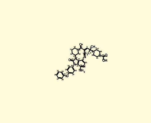 CC(C)(C=C(C#N)C(=O)N1CCCC(n2c(=O)n(-c3ccc(Oc4ccccc4)cc3)c3c(N)nccc32)C1)N1CCN(C(=O)O)CC1